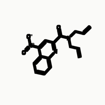 C=CCN(CC=C)C(=O)c1cc([N+](=O)[O-])c2ccccc2n1